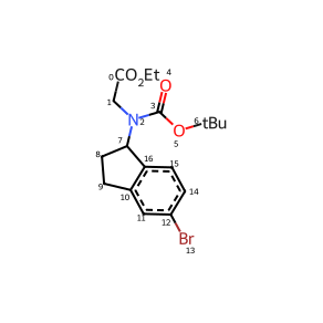 CCOC(=O)CN(C(=O)OC(C)(C)C)C1CCc2cc(Br)ccc21